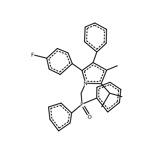 Cc1c(-c2ccccc2)c(-c2ccc(F)cc2)n(CP(=O)(c2ccccc2)c2ccccc2)c1C(C)C